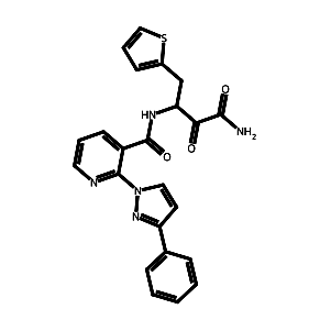 NC(=O)C(=O)C(Cc1cccs1)NC(=O)c1cccnc1-n1ccc(-c2ccccc2)n1